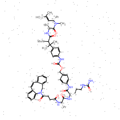 CNC(C(=O)N[C@H](C(=O)N(C)[C@H](/C=C(\C)C(=O)O)C(C)C)C(C)(C)C)C(C)(C)c1ccc(NC(=O)OCc2ccc(NC(=O)[C@H](CCCNC(N)=O)NC(=O)[C@@H](NC(=O)CCC(=O)N3Cc4ccccc4/C=C\c4ccccc43)C(C)C)cc2)cc1